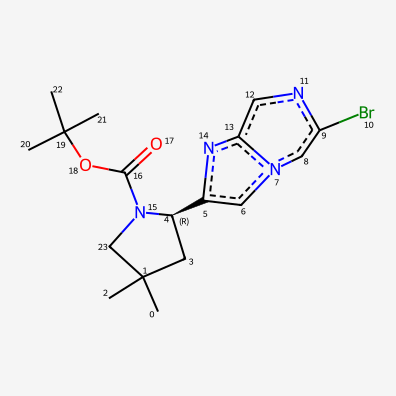 CC1(C)C[C@H](c2cn3cc(Br)ncc3n2)N(C(=O)OC(C)(C)C)C1